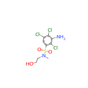 CN(CCO)S(=O)(=O)c1cc(Cl)c(Cl)c(N)c1Cl